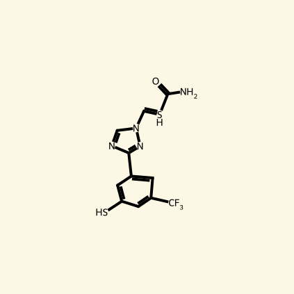 NC(=O)[SH]=Cn1cnc(-c2cc(S)cc(C(F)(F)F)c2)n1